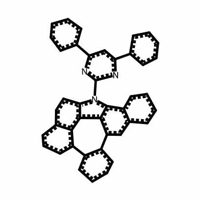 c1ccc(-c2cc(-c3ccccc3)nc(-n3c4ccc5cccc6c5c4c4c(cc5ccccc5c43)-c3ccccc3-6)n2)cc1